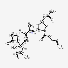 C=CCOC(=O)N1C[C@H](OC(=O)NC)C[C@H]1/C=C(\C)C(=O)C[C@H]1NC(=O)[C@@H]1[C@@](C)(O[SiH](C)C)C(C)(C)C